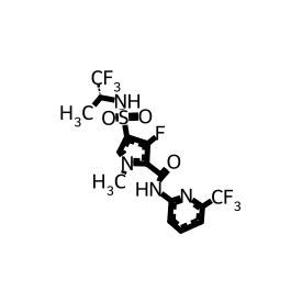 C[C@@H](NS(=O)(=O)c1cn(C)c(C(=O)Nc2cccc(C(F)(F)F)n2)c1F)C(F)(F)F